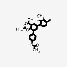 COc1cc(F)ccc1-c1cc(C(=O)O)c(OC(C)=O)c(-c2ccc(NC(C)=O)cc2)c1